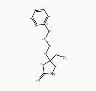 O=C1NCC(CCl)(CCOCc2ccccc2)O1